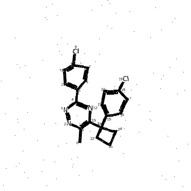 Cc1nnc(-c2ccc(Cl)cc2)nc1C1(c2ccc(Cl)cc2)CCC1